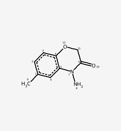 Cc1ccc2c(c1)N(N)C(=O)CO2